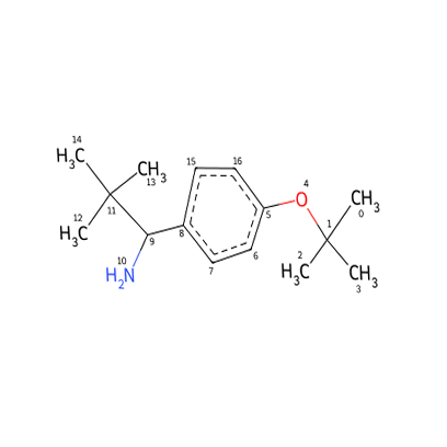 CC(C)(C)Oc1ccc(C(N)C(C)(C)C)cc1